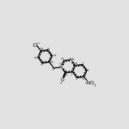 O=c1c2cc([N+](=O)[O-])ccc2ncn1Cc1ccc(Cl)cc1